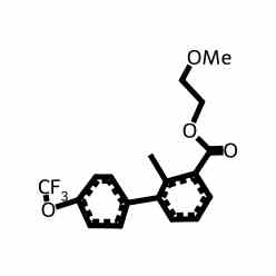 COCCOC(=O)c1cccc(-c2ccc(OC(F)(F)F)cc2)c1C